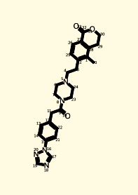 Cc1c(CCN2CCN(C(=O)Cc3ccc(-n4cncn4)cc3)CC2)ccc2c1CCOC2=O